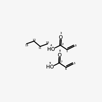 C=CC(=O)O.C=CC(=O)O.CCCC